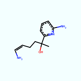 CC(O)(CC/C=C\N)c1cccc(N)n1